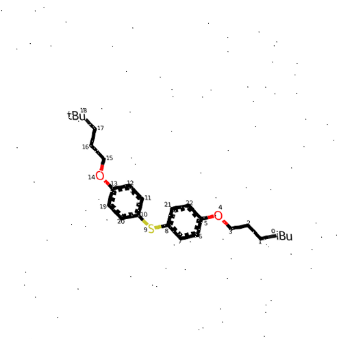 CCC(C)CCCOc1ccc(Sc2ccc(OCCCC(C)(C)C)cc2)cc1